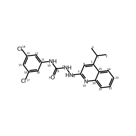 CC(C)c1cc(NNC(=O)Nc2cc(Cl)cc(Cl)c2)nc2ccccc12